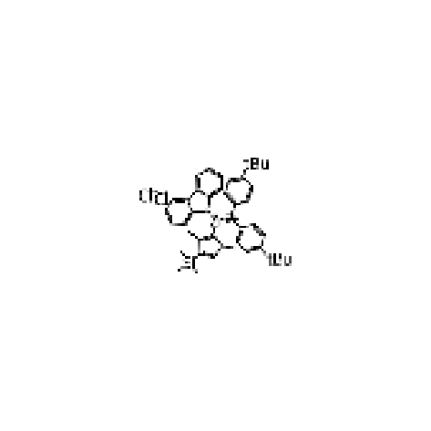 CC1=[C]([Zr+2](=[C](c2ccc(C(C)(C)C)cc2)c2ccc(C(C)(C)C)cc2)[CH]2c3ccccc3-c3ccccc32)C(C)C=C1[Si](C)(C)C.[Cl-].[Cl-]